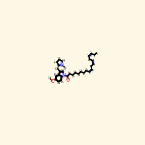 CC/C=C\C/C=C\C/C=C\CCCCCCCC(=O)n1cc(C[C@H]2CCCN2C)c2cc(OC)ccc21